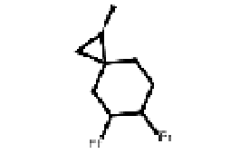 CCC1CC2(CCC1C(C)C)C[C@H]2C